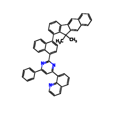 CC1(C)c2cc3ccccc3cc2-c2cccc(-c3ccc(-c4nc(-c5ccccc5)cc(-c5cccc6cccnc56)n4)c4ccccc34)c21